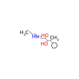 CCCCNC[CH]C(O)C(O)C(C)c1ccccc1